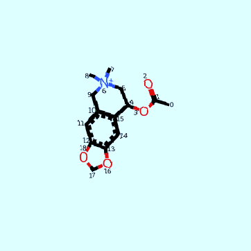 CC(=O)OC1C[N+](C)(C)Cc2cc3c(cc21)OCO3